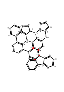 c1ccc(-c2cccc(-c3ccccc3)c2N2c3cc(-n4c5ccccc5c5ccccc54)cc4c3B(n3cccc3S4)n3cccc32)cc1